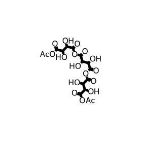 CC(=O)OC(=O)C(O)C(O)C(=O)OC(=O)C(O)C(O)C(=O)OC(=O)C(O)C(O)C(=O)OC(C)=O